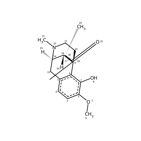 COc1ccc2c(c1O)[C@]13CCN(C)[C@H](C2)[C@@H]1C[C@H](C)C(=O)C3